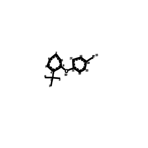 CC(C)(C)c1ccccc1Oc1ccc(F)cc1